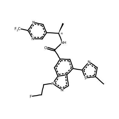 Cc1cnc(-c2cc(C(=O)N[C@H](C)c3cnc(C(F)(F)F)nc3)cc3c2cnn3CCF)s1